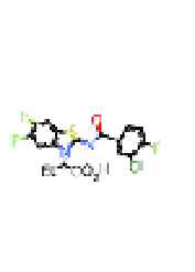 CCC(C(=O)O)n1c(=NC(=O)c2ccc(F)c(Cl)c2)sc2cc(F)c(F)cc21